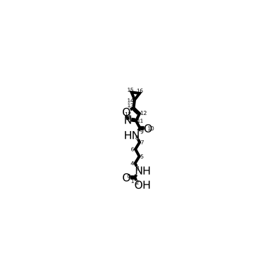 O=C(O)NCCCCNC(=O)c1cc(C2CC2)on1